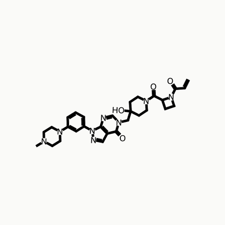 C=CC(=O)N1CCC1C(=O)N1CCC(O)(Cn2cnc3c(cnn3-c3cccc(N4CCN(C)CC4)c3)c2=O)CC1